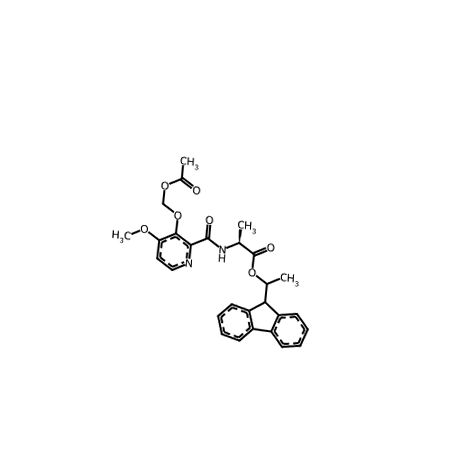 COc1ccnc(C(=O)N[C@@H](C)C(=O)OC(C)C2c3ccccc3-c3ccccc32)c1OCOC(C)=O